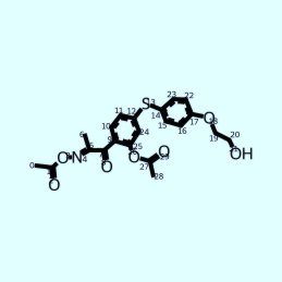 CC(=O)O/N=C(\C)C(=O)c1ccc(Sc2ccc(OCCO)cc2)cc1OC(C)=O